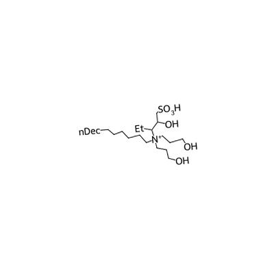 CCCCCCCCCCCCCCCC[N+](CCCO)(CCCO)C(CC)C(O)CS(=O)(=O)O